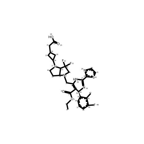 CCOC(=O)C1=C(CN2CC(F)(F)C3C2CCN3C2CC(CC(=O)O)C2)NC(c2nccs2)=N[C@H]1c1cccc(F)c1C